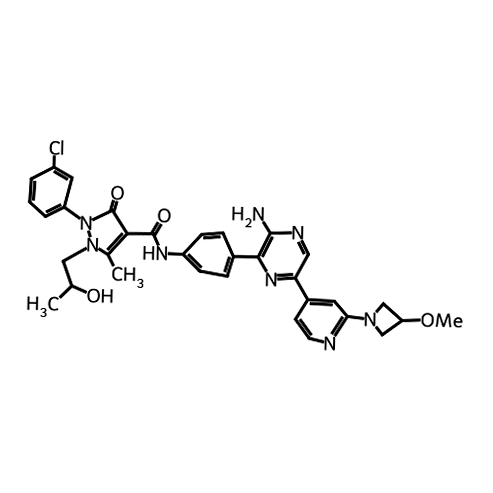 COC1CN(c2cc(-c3cnc(N)c(-c4ccc(NC(=O)c5c(C)n(CC(C)O)n(-c6cccc(Cl)c6)c5=O)cc4)n3)ccn2)C1